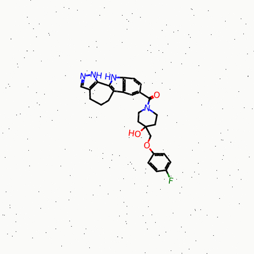 O=C(c1ccc2[nH]c3c(c2c1)CCCc1cn[nH]c1-3)N1CCC(O)(COc2ccc(F)cc2)CC1